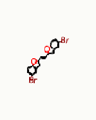 Brc1ccc2oc(C=Cc3cc4cc(Br)ccc4o3)cc2c1